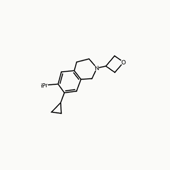 CC(C)c1cc2c(cc1C1CC1)CN(C1COC1)CC2